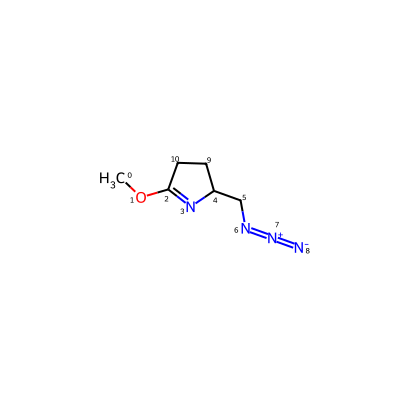 COC1=NC(CN=[N+]=[N-])CC1